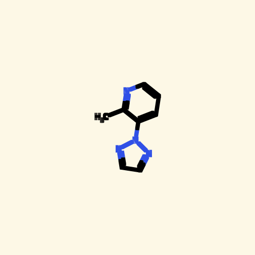 Cc1ncccc1-n1nccn1